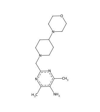 Cc1nc(CN2CCC(N3CCOCC3)CC2)nc(C)c1N